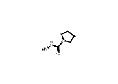 CCCNC(=O)N1CCCC1